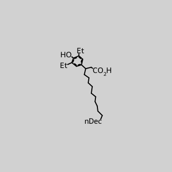 CCCCCCCCCCCCCCCCCCCCC(CC(=O)O)c1cc(CC)c(O)c(CC)c1